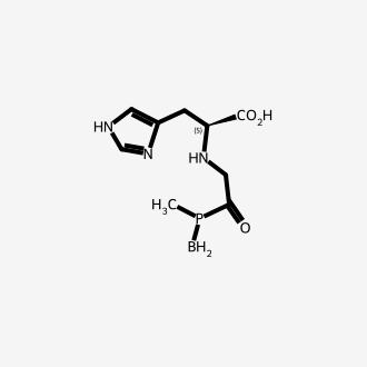 BP(C)C(=O)CN[C@@H](Cc1c[nH]cn1)C(=O)O